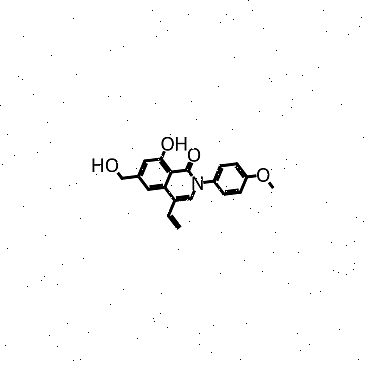 C=Cc1cn(-c2ccc(OC)cc2)c(=O)c2c(O)cc(CO)cc12